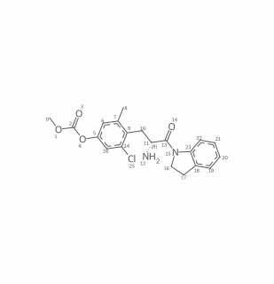 COC(=O)Oc1cc(C)c(C[C@@H](N)C(=O)N2CCc3ccccc32)c(Cl)c1